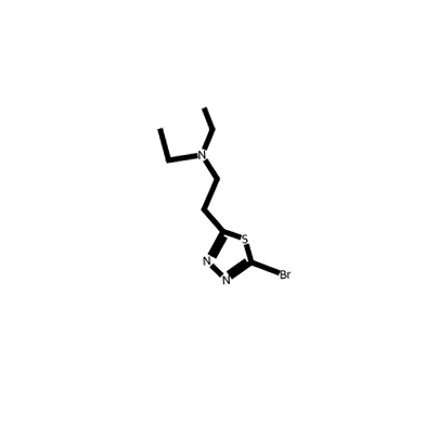 CCN(CC)CCc1nnc(Br)s1